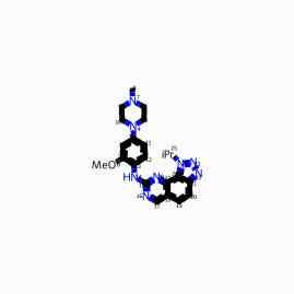 COc1cc(N2CCN(C)CC2)ccc1Nc1ncc2ccc3nnn(C(C)C)c3c2n1